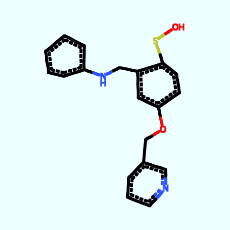 OSc1ccc(OCc2cccnc2)cc1CNc1ccccc1